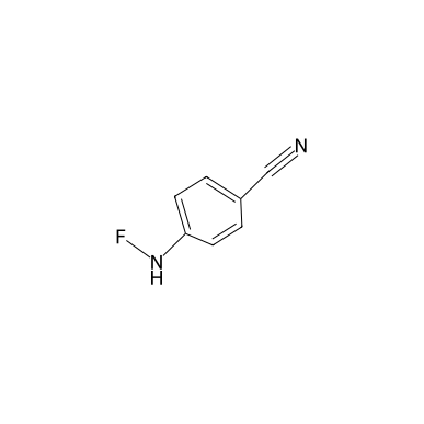 N#Cc1ccc(NF)cc1